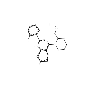 COCC1CCCCN1c1nc(-c2ccccc2O)nc2cc(C)ccc12